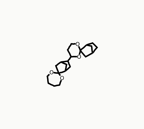 C1CCOC2(CC3CC2CC3C2CCOC3(CC4CCC3C4)O2)OC1